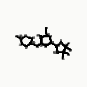 Cc1cc(B2OC(C)(C)C(C)(C)O2)cc(CN2CCN(C)CC2)n1